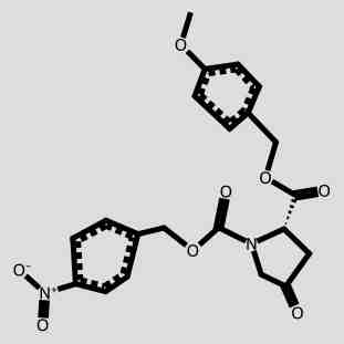 COc1ccc(COC(=O)[C@@H]2CC(=O)CN2C(=O)OCc2ccc([N+](=O)[O-])cc2)cc1